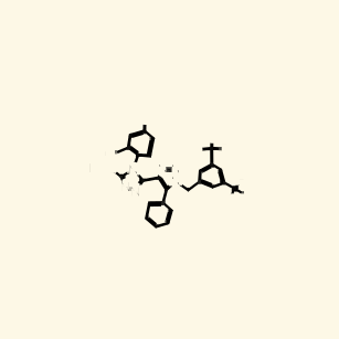 Cc1nnc(-c2nnn(Cc3cc(C(F)(F)F)cc(C(F)(F)F)c3)c2-c2ccccc2)n1-c1ccc(F)cc1Cl